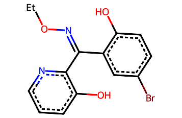 CCO/N=C(/c1cc(Br)ccc1O)c1ncccc1O